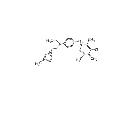 C=C1C(C)=C/C(=N\c2ccc(N(CC)CCn3cc[n+](C)c3)cc2)C(N)=C1Cl